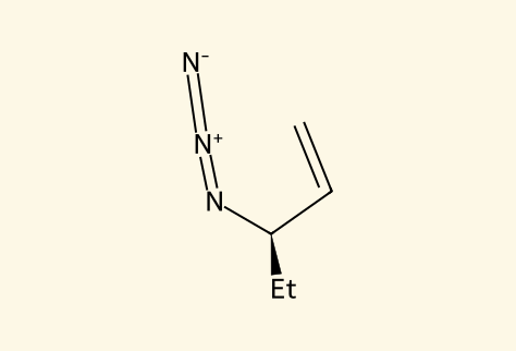 C=C[C@@H](CC)N=[N+]=[N-]